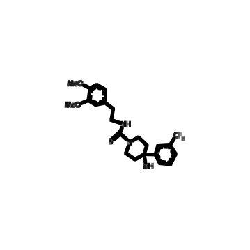 COc1ccc(CCNC(=S)N2CCC(O)(c3cccc(C(F)(F)F)c3)CC2)cc1OC